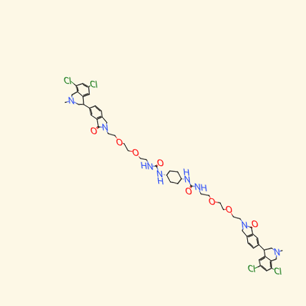 CN1Cc2c(Cl)cc(Cl)cc2C(c2ccc3c(c2)C(=O)N(CCOCCOCCNC(=O)N[C@H]2CC[C@@H](NC(=O)NCCOCCOCCN4Cc5ccc(C6CN(C)Cc7c(Cl)cc(Cl)cc76)cc5C4=O)CC2)C3)C1